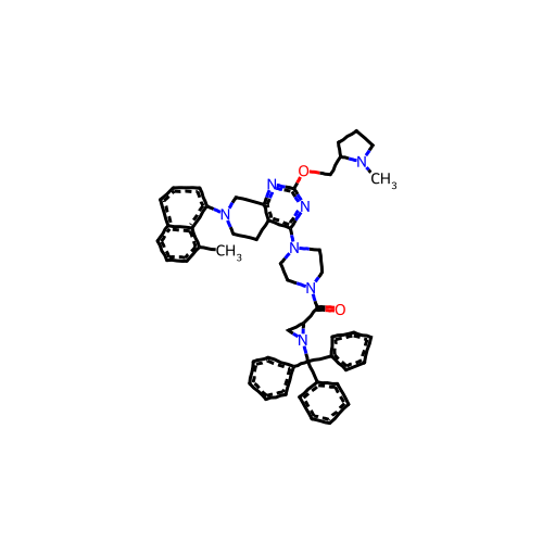 Cc1cccc2cccc(N3CCc4c(nc(OCC5CCCN5C)nc4N4CCN(C(=O)C5CN5C(c5ccccc5)(c5ccccc5)c5ccccc5)CC4)C3)c12